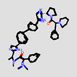 CC(c1ncc(-c2ccc(-c3ccc(-c4cnc([C@@H]5CCCN5C(=O)C(c5ccccc5)N5CCCCC5)[nH]4)cc3)cc2)[nH]1)N(C)C(=O)C(c1ccccc1)N(C)C